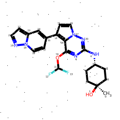 C[C@]1(O)CC[C@H](Nc2nc(OC(F)F)c3c(-c4ccn5nccc5c4)ccn3n2)CC1